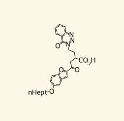 CCCCCCCOc1ccc2oc(C(=O)CC(CCn3nnc4ccccc4c3=O)C(=O)O)cc2c1